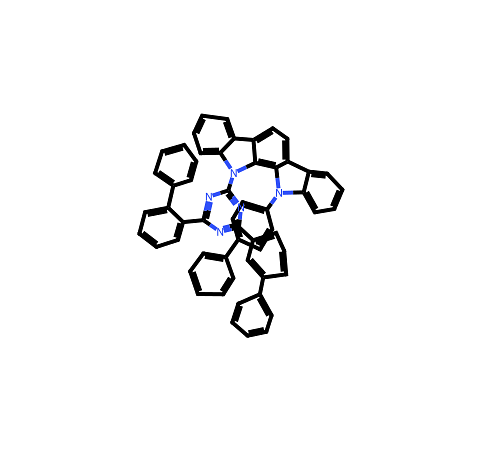 c1ccc(-c2ccc(-n3c4ccccc4c4ccc5c6ccccc6n(-c6nc(-c7cccc(-c8ccccc8)c7)nc(-c7ccccc7-c7ccccc7)n6)c5c43)cc2)cc1